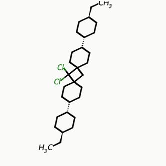 CC[C@H]1CC[C@H](C2CCC3(CC2)CC2(CCC([C@H]4CC[C@H](CC)CC4)CC2)C3(Cl)Cl)CC1